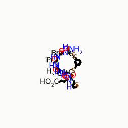 CC[C@H](C)[C@@H]1NC(=O)[C@H](CC(C)C)NC(=O)C(C)(C)NC(=O)C(NC(=O)[C@H](Cc2cccs2)NC(=O)CCCC(=O)O)CSCc2cccc(c2)CSC[C@@H](C(N)=O)NC1=O